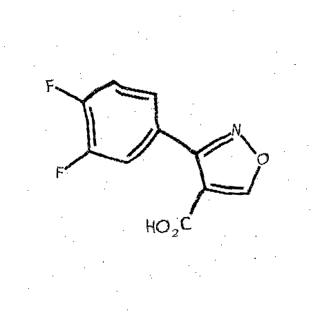 O=C(O)c1conc1-c1ccc(F)c(F)c1